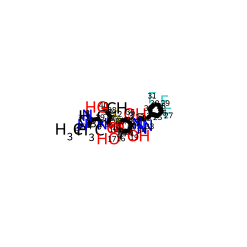 CN(Cc1cn(C)cn1)C(=O)[C@@H](S[C@@H]1O[C@H](CO)[C@H](O)[C@H](n2cc(-c3cc(F)c(F)c(F)c3)nn2)[C@H]1O)C(C)(C)O